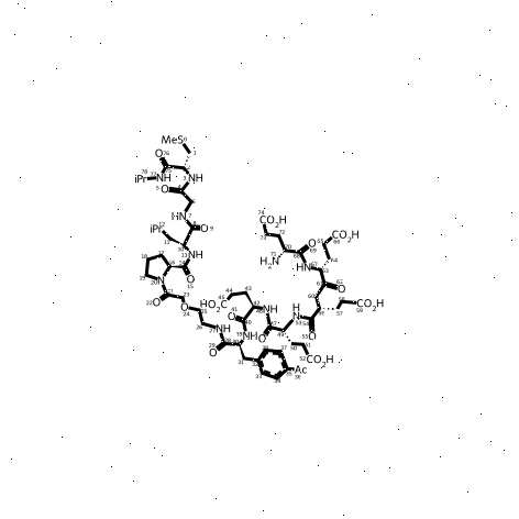 CSC[C@H](NC(=O)CNC(=O)[C@H](CC(C)C)NC(=O)[C@@H]1CCCN1C(=O)COCCNC(=O)[C@H](Cc1ccc(C(C)=O)cc1)NC(=O)[C@@H](CCC(=O)O)NC(=O)[C@@H](CCC(=O)O)NC(=O)[C@@H](CCC(=O)O)CC(=O)[C@@H](CCC(=O)O)NC(=O)[C@H](N)CCC(=O)O)C(=O)NC(C)C